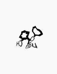 CCCCC(OC1CCCCC1)c1ccccc1O